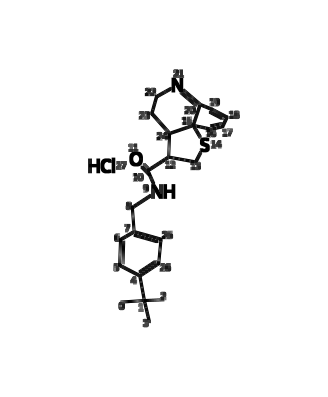 CC(C)(C)c1ccc(CNC(=O)C2CSC34C=CC=CC3=NCCC24)cc1.Cl